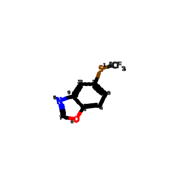 FC(F)(F)Sc1ccc2ocnc2c1